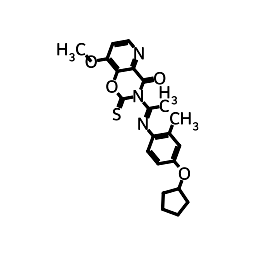 COc1ccnc2c(=O)n(/C(C)=N/c3ccc(OC4CCCC4)cc3C)c(=S)oc12